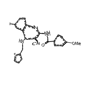 COc1ccc(C(=O)Nc2nc3ccc(I)cc3c(NCc3cccs3)c2C#N)cc1